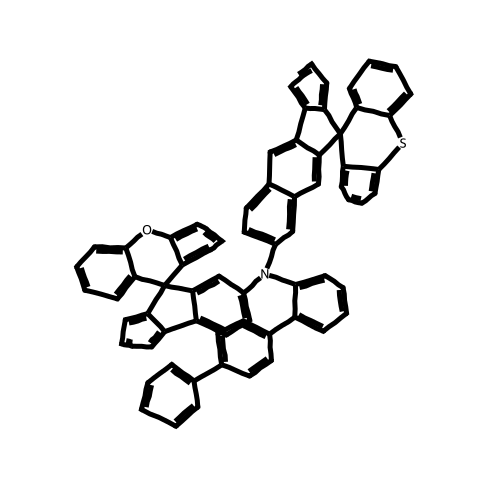 c1ccc(-c2ccc(-c3ccccc3N(c3ccc4c(c3)C3(c5ccccc5Oc5ccccc53)c3ccccc3-4)c3ccc4cc5c(cc4c3)C3(c4ccccc4Sc4ccccc43)c3ccccc3-5)cc2)cc1